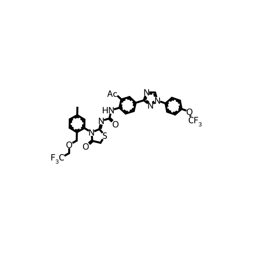 CC(=O)c1cc(-c2ncn(-c3ccc(OC(F)(F)F)cc3)n2)ccc1NC(=O)N=C1SCC(=O)N1c1cc(C)ccc1COCC(F)(F)F